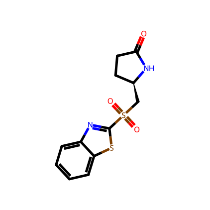 O=C1CC[C@H](CS(=O)(=O)c2nc3ccccc3s2)N1